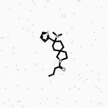 CCCC(=O)N1CCC2(CCC(c3cccs3)(N(C)C)CC2)C1